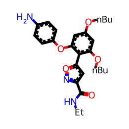 CCCCOc1cc(OCCCC)c(-c2cc(C(=O)NCC)no2)c(Oc2ccc(N)cc2)c1